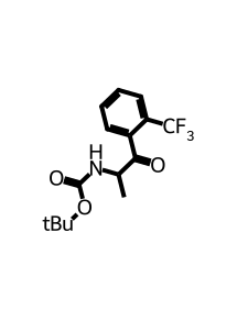 CC(NC(=O)OC(C)(C)C)C(=O)c1ccccc1C(F)(F)F